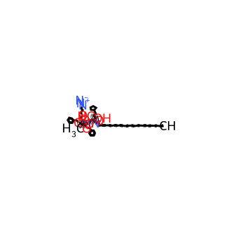 C#CC#CC#CC#CC#CC#CC#CC#CC#CC#CC#CCC(=O)N[C@@H](CO[C@H]1OC(COCCCN=[N+]=[N-])[C@H](OCc2ccccc2)[C@H](C)C1OCc1ccccc1)[C@H](O)[C@H](O)CC1CCCC1